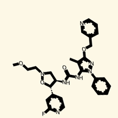 COCCN1C[C@@H](NC(=O)Nc2c(C)c(OCc3cccnc3)nn2-c2ccccc2)[C@H](c2ccnc(F)c2)O1